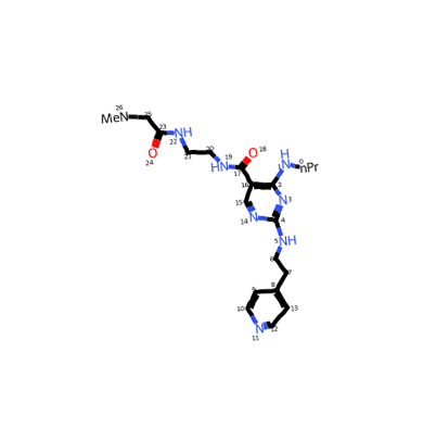 CCCNc1nc(NCCc2ccncc2)ncc1C(=O)NCCNC(=O)CNC